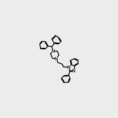 c1ccc(-c2nc3ccccc3n2CCCN2CCN(C(c3ccccc3)c3ccccc3)CC2)cc1